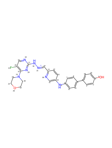 Oc1ccc(-c2ccc(Nc3ccc(/C=N/Nc4ncc(F)c(N5CCOCC5)n4)nc3)cc2)cc1